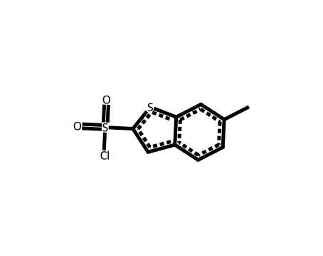 Cc1ccc2cc(S(=O)(=O)Cl)sc2c1